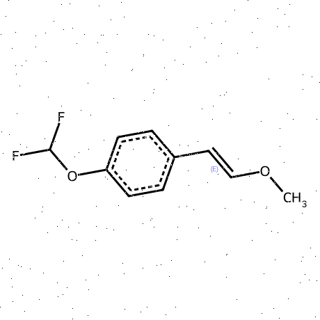 CO/C=C/c1ccc(OC(F)F)cc1